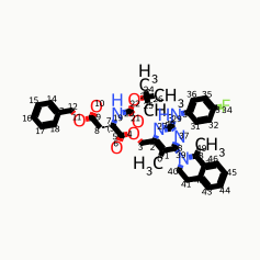 Cc1c(COC(=O)[C@H](CC(=O)OCc2ccccc2)NC(=O)OC(C)(C)C)nc(Nc2ccc(F)cc2)nc1N1CCc2ccccc2C1C